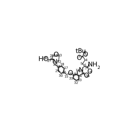 CC(C)(C)OC(=O)CC[C@@H](C(N)=O)N1Cc2c(OCc3ccc(CN4CCOCC4CO)cc3)cccc2C1=O